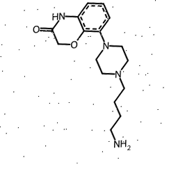 NCCCCN1CCN(c2cccc3c2OCC(=O)N3)CC1